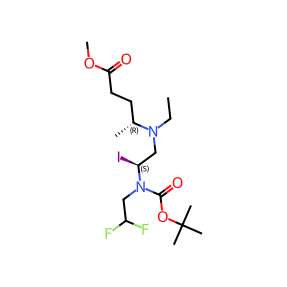 CCN(C[C@H](I)N(CC(F)F)C(=O)OC(C)(C)C)[C@H](C)CCC(=O)OC